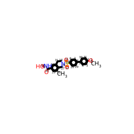 COc1ccc(-c2ccc(S(=O)(=O)N3CCc4cc(C(=O)NO)cc(C)c4C3)cc2)cc1